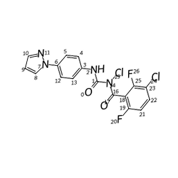 O=C(Nc1ccc(-n2cccn2)cc1)N(Cl)C(=O)c1c(F)ccc(Cl)c1F